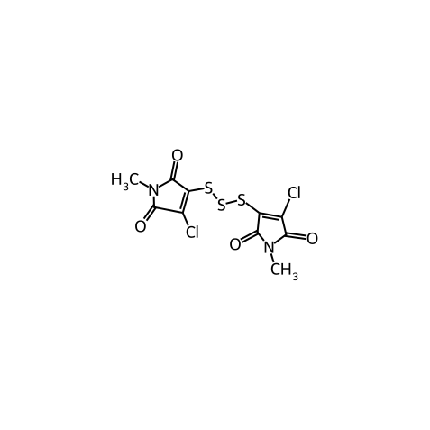 CN1C(=O)C(Cl)=C(SSSC2=C(Cl)C(=O)N(C)C2=O)C1=O